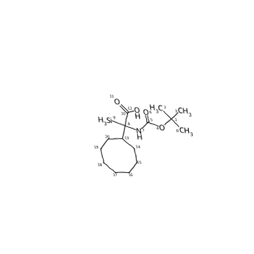 CC(C)(C)OC(=O)NC([SiH3])(C(=O)O)C1CCCCCCC1